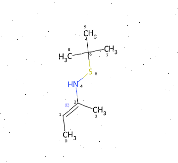 C/C=C(\C)NSC(C)(C)C